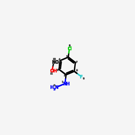 NNc1ccc(Cl)cc1F.O=[N+]([O-])O